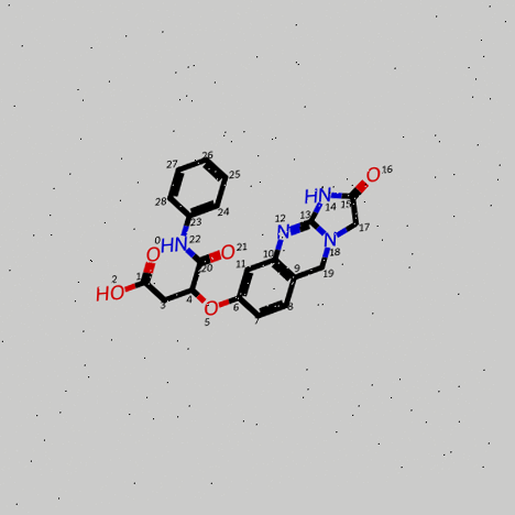 O=C(O)CC(Oc1ccc2c(c1)N=C1NC(=O)CN1C2)C(=O)Nc1ccccc1